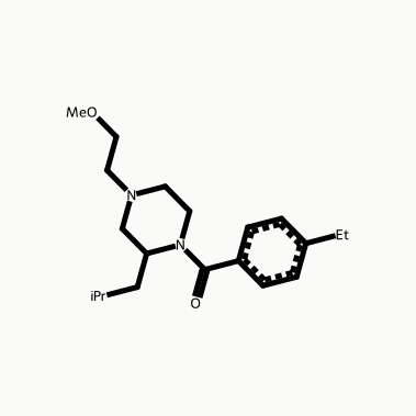 CCc1ccc(C(=O)N2CCN(CCOC)CC2CC(C)C)cc1